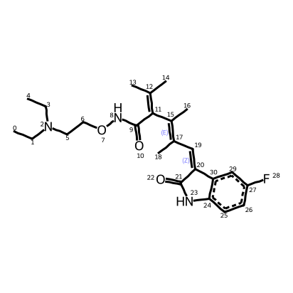 CCN(CC)CCONC(=O)C(=C(C)C)/C(C)=C(C)/C=C1\C(=O)Nc2ccc(F)cc21